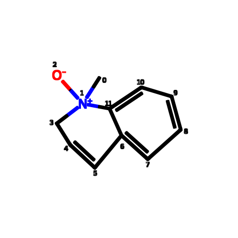 C[N+]1([O-])CC=Cc2ccccc21